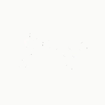 c1ccc(C2=NC(c3ccc4cc(-c5cccc6oc7cc(-c8ccccc8)ccc7c56)ccc4c3)=NC(c3ccccc3)N2)cc1